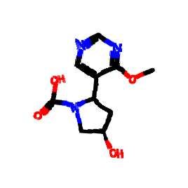 COc1ncncc1C1C[C@@H](O)CN1C(=O)O